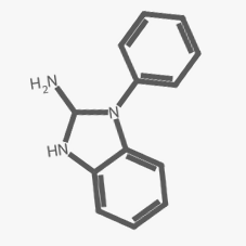 NC1Nc2ccccc2N1c1ccccc1